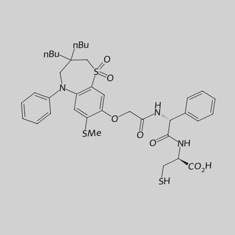 CCCCC1(CCCC)CN(c2ccccc2)c2cc(SC)c(OCC(=O)N[C@@H](C(=O)N[C@H](CS)C(=O)O)c3ccccc3)cc2S(=O)(=O)C1